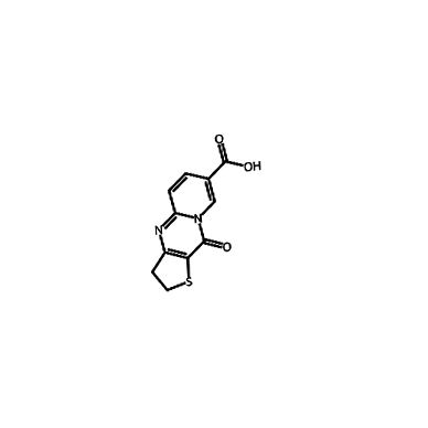 O=C(O)c1ccc2nc3c(c(=O)n2c1)SCC3